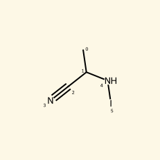 CC(C#N)NI